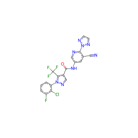 N#Cc1cc(NC(=O)c2cnn(-c3cccc(F)c3Cl)c2C(F)(F)F)cnc1-n1nccn1